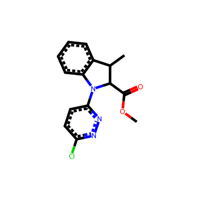 COC(=O)C1C(C)c2ccccc2N1c1ccc(Cl)nn1